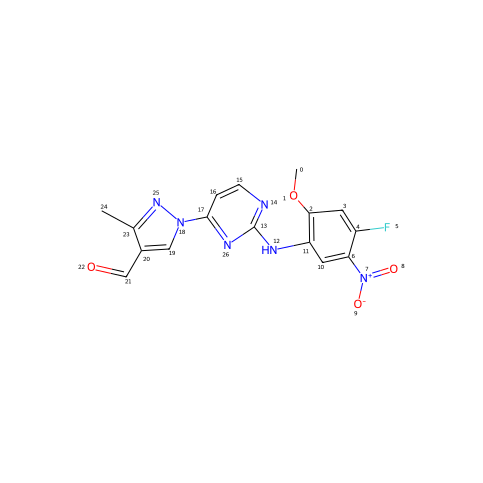 COc1cc(F)c([N+](=O)[O-])cc1Nc1nccc(-n2cc(C=O)c(C)n2)n1